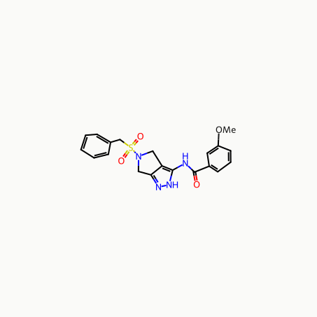 COc1cccc(C(=O)Nc2[nH]nc3c2CN(S(=O)(=O)Cc2ccccc2)C3)c1